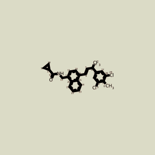 Cc1c(Cl)cc(C(/C=C/c2ccc(CNC(=O)C3CC3)c3ccccc23)C(F)(F)F)cc1Cl